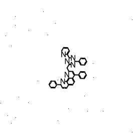 c1ccc(-c2ccc3ccc4c(-c5ccccc5)cc(Cc5nc(-c6ccccc6)nc(-c6ccccn6)n5)nc4c3n2)cc1